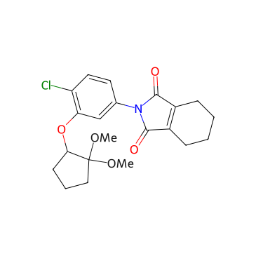 COC1(OC)CCCC1Oc1cc(N2C(=O)C3=C(CCCC3)C2=O)ccc1Cl